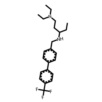 CCC(CCN(CC)CC)NCc1ccc(-c2ccc(C(F)(F)F)cc2)cc1